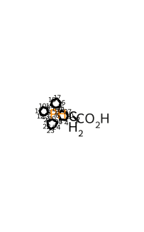 C=CC(=O)O.c1ccc([PH](c2ccccc2)(c2ccccc2)c2ccccc2)cc1